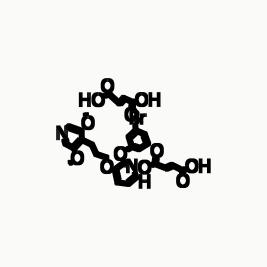 COc1cncc(OC)c1CCCOc1cccnc1Oc1cccc(Br)c1.O=C(O)C=CC(=O)O.O=C(O)C=CC(=O)O